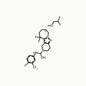 OC(Nc1ccc(F)c(C(F)(F)F)c1)N1CCc2nn3c(c2C1)C(F)(F)CC[C@H](COCC(F)F)C3